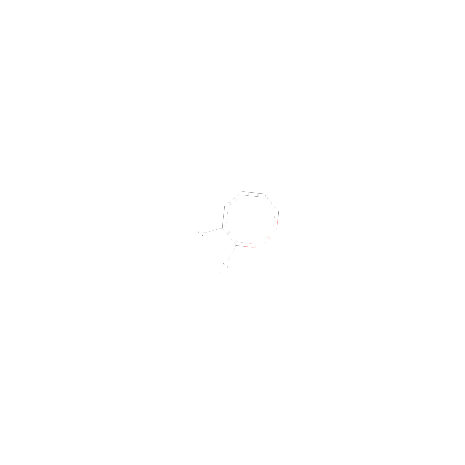 O=[N+]([O-])c1ccccooc1[N+](=O)[O-]